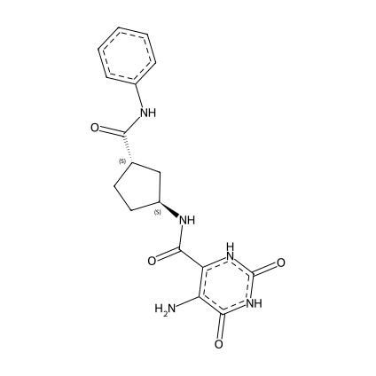 Nc1c(C(=O)N[C@H]2CC[C@H](C(=O)Nc3ccccc3)C2)[nH]c(=O)[nH]c1=O